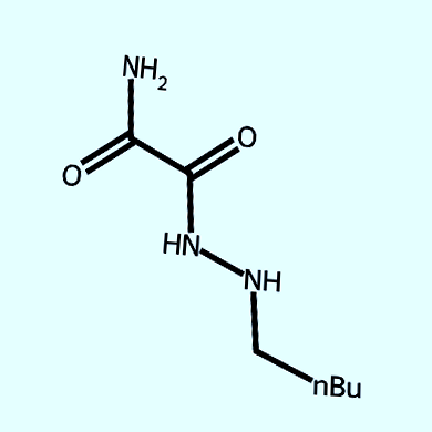 CCCCCNNC(=O)C(N)=O